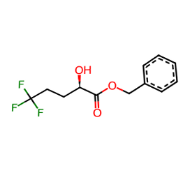 O=C(OCc1ccccc1)[C@H](O)CCC(F)(F)F